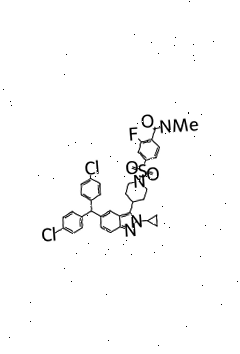 CNC(=O)c1ccc(S(=O)(=O)N2CCC(c3c4cc(C(c5ccc(Cl)cc5)c5ccc(Cl)cc5)ccc4nn3C3CC3)CC2)cc1F